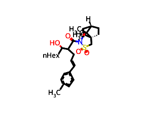 CCCCCCC(O)C(C/C=C/c1ccc(C)cc1)C(=O)N1[C@H]2C[C@@H]3CC[C@@]2(CS1(=O)=O)C3(C)C